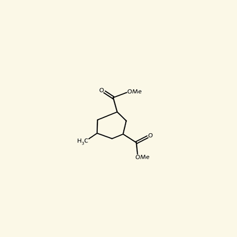 COC(=O)C1CC(C)CC(C(=O)OC)C1